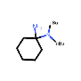 CCCCN(CCCC)C1(N)CCCCC1